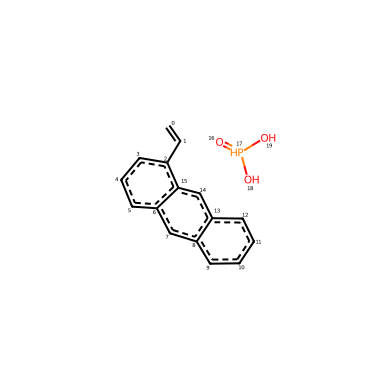 C=Cc1cccc2cc3ccccc3cc12.O=[PH](O)O